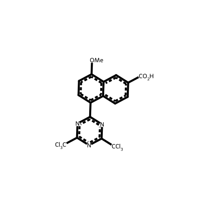 COc1ccc(-c2nc(C(Cl)(Cl)Cl)nc(C(Cl)(Cl)Cl)n2)c2ccc(C(=O)O)cc12